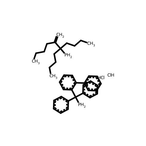 C=C(CCCC)C(P)(CCCC)CCCC.Cl.Cl.PC(c1ccccc1)(c1ccccc1)c1ccccc1-c1ccccc1